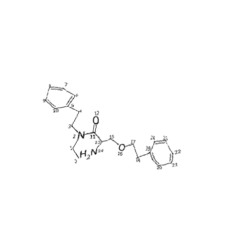 CCN(CCc1ccccc1)C(=O)C(N)COCCc1ccccc1